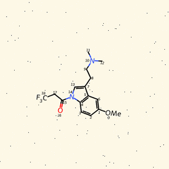 COc1ccc2c(c1)c(CCN(C)C)cn2C(=O)CC(F)(F)F